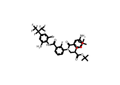 Bc1cc(C(F)(C(F)(F)F)C(F)(F)F)cc(Br)c1NC(=O)c1cccc(N(CC(C(=O)OC(C)(C)C)C(=O)OC(C)(C)C)C(=O)c2cccc(N)c2)c1F